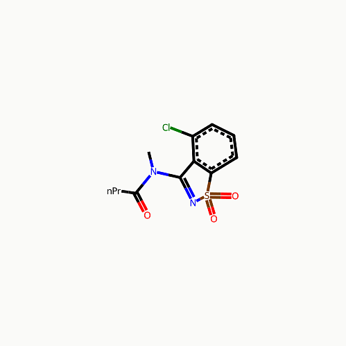 CCCC(=O)N(C)C1=NS(=O)(=O)c2cccc(Cl)c21